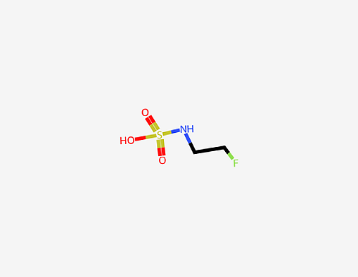 O=S(=O)(O)NCCF